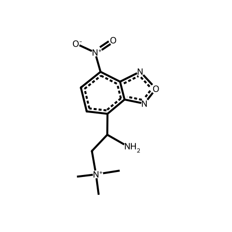 C[N+](C)(C)CC(N)c1ccc([N+](=O)[O-])c2nonc12